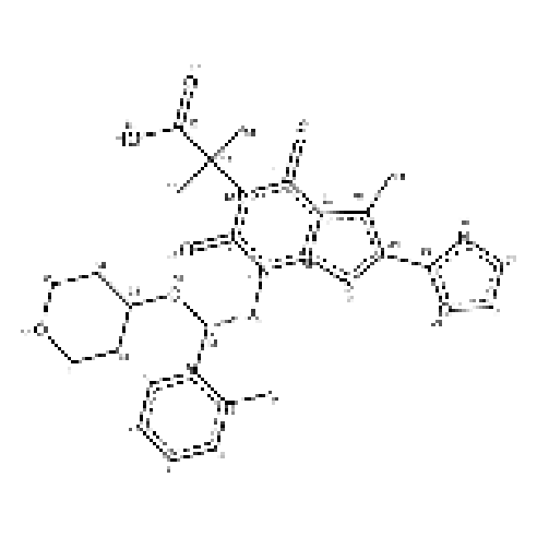 Cc1ccccc1[C@@H](Cn1c(=O)n(C(C)(C)C(=O)O)c(=O)c2c(C)c(-c3ncco3)sc21)OC1CCOCC1